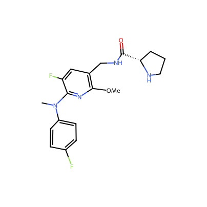 COc1nc(N(C)c2ccc(F)cc2)c(F)cc1CNC(=O)[C@@H]1CCCN1